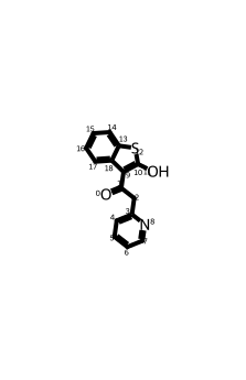 O=C(Cc1ccccn1)c1c(O)sc2ccccc12